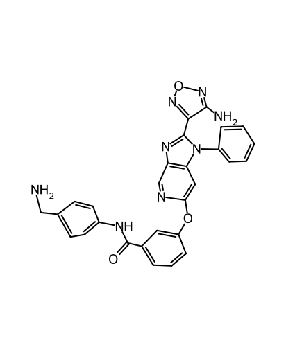 NCc1ccc(NC(=O)c2cccc(Oc3cc4c(cn3)nc(-c3nonc3N)n4-c3ccccc3)c2)cc1